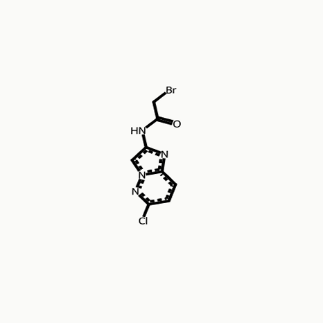 O=C(CBr)Nc1cn2nc(Cl)ccc2n1